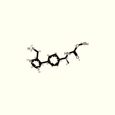 C[C@H](NC(=O)OC(C)(C)C)c1ccc(-c2scnc2CN)cc1